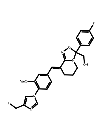 COc1cc(/C=C2\CCCN3C2=NOC3(CO)c2ccc(F)cc2)ccc1-n1cnc(CF)c1